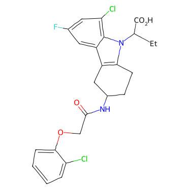 CCC(C(=O)O)n1c2c(c3cc(F)cc(Cl)c31)CC(NC(=O)COc1ccccc1Cl)CC2